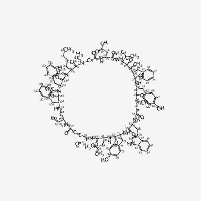 CCCC[C@H]1C(=O)N(C)CC(=O)N[C@@H](CC(=O)O)C(=O)N[C@@H](C(C)C)C(=O)N(C)[C@@H](Cc2ccccc2)C(=O)N[C@@H](Cc2ccc(O)cc2)C(=O)N(C)CC(=O)N[C@@H](Cc2c[nH]c3ccccc23)C(=O)N[C@@H](Cc2ccc(O)cc2)C(=O)N[C@@H](CC(C)C)C(=O)N[C@H](C=O)CCC(=O)NC(C=O)CNC(Cc2ccccc2)C(=O)N(C)[C@@H](Cc2ccccc2)C(=O)N1C